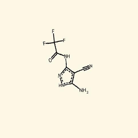 N#Cc1c(NC(=O)C(F)(F)F)n[nH]c1N